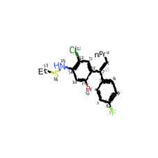 CCC/C=C(/c1ccc(F)cc1)c1cc(Cl)c(NSCC)cc1Br